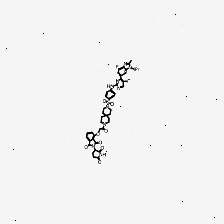 Cc1nc2c(F)cc(-c3nc(Nc4ccc(S(=O)(=O)N5CCC6(CCN(C(=O)COc7cccc8c7C(=O)N(C7CCC(=O)NC7=O)C8=O)CC6)CC5)cc4)ncc3F)cc2n1C(C)C